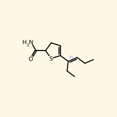 CC/C=C(\CC)C1=CCC(C(N)=O)S1